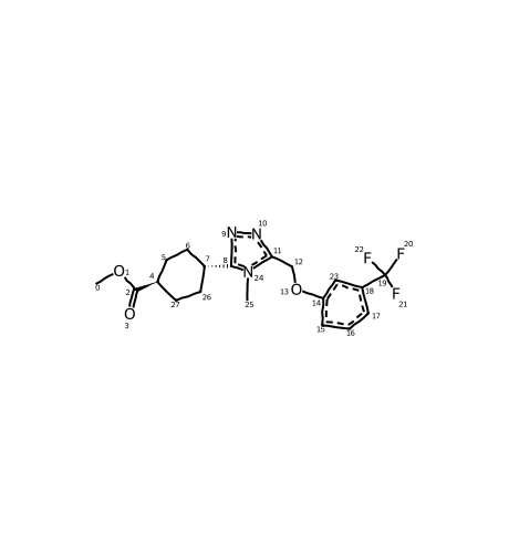 COC(=O)[C@H]1CC[C@H](c2nnc(COc3cccc(C(F)(F)F)c3)n2C)CC1